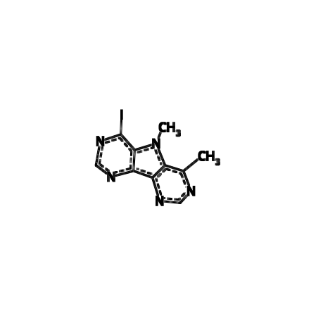 Cc1ncnc2c3ncnc(I)c3n(C)c12